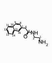 NCCNC(=O)Cc1ccc2ccccc2c1